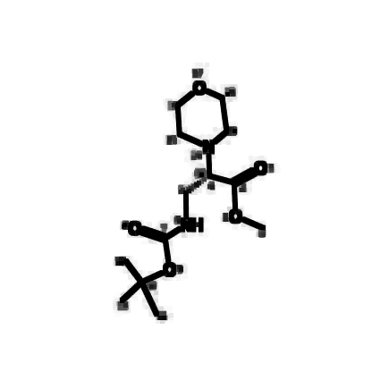 COC(=O)[C@H](CNC(=O)OC(C)(C)C)N1CCOCC1